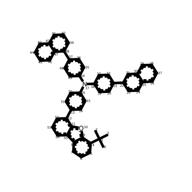 CC(C)(C)c1cccc2c1oc1c(-c3ccc(N(c4ccc(-c5ccc6ccccc6c5)cc4)c4ccc(-c5cccc6ccccc56)cc4)cc3)cccc12